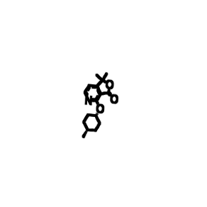 CC1(C)OC(=O)c2c1ccnc2O[C@H]1CC[C@H](C)CC1